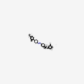 CCCCOc1ccc(C2CCC(/C=C/C3CCC(C(F)(F)Oc4cc(F)c(C(F)(F)F)c(F)c4)CC3)CC2)c(F)c1